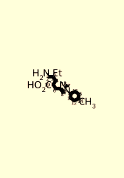 CCC(CN)CC(Cc1cn([C@H]2CC[C@H](C)CC2)cn1)C(=O)O